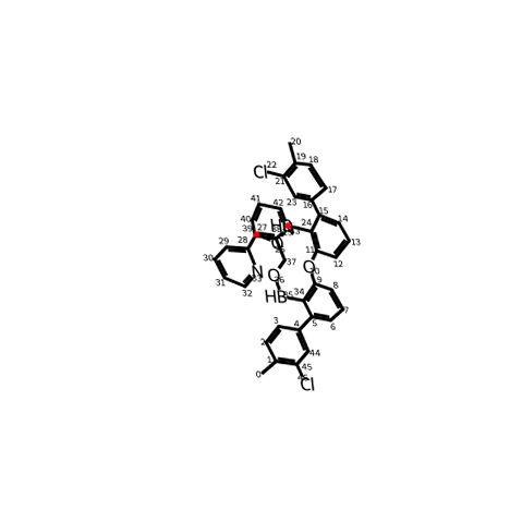 Cc1ccc(-c2cccc(Oc3cccc(-c4ccc(C)c(Cl)c4)c3BOCc3ccccn3)c2BOCc2ccccn2)cc1Cl